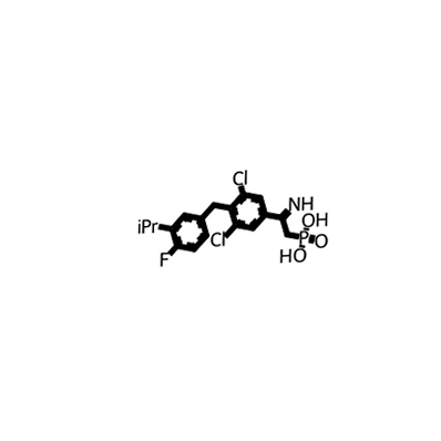 CC(C)c1cc(Cc2c(Cl)cc(C(=N)CP(=O)(O)O)cc2Cl)ccc1F